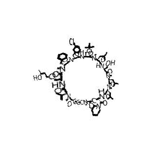 CC(C)C[C@H]1C(=O)N[C@@H]([C@@H](C)O)C(=O)N(C)[C@@H](CC(C)C)C(=O)N(C)[C@@H](CC(C)C)C(=O)N[C@H](C(=O)N2CCCCC2)CC(=O)N(C)CCCC(=O)N(C)[C@@H](C(C)C)C(=O)NC(COCC[C@H](C)O)C(=O)N(C)[C@@H](Cc2ccccc2)C(=O)N(C)[C@@H](Cc2cccc(Cl)c2)C(=O)N[C@@H](COC(C)(C)C)C(=O)N1C